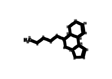 CCCCCC1CN2CC=CC2C2C=CCCC12